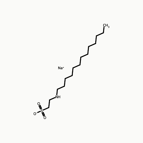 CCCCCCCCCCCCCNCCS(=O)(=O)[O-].[Na+]